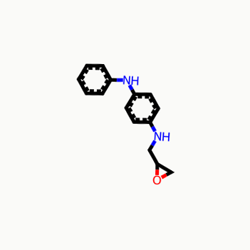 c1ccc(Nc2ccc(NCC3CO3)cc2)cc1